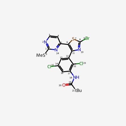 CSc1nccc(-c2sc(Br)nc2-c2cc(Cl)cc(NC(=O)C(C)(C)C)c2Cl)n1